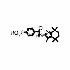 Cc1c(NC(=O)c2ccc(C(=O)O)cc2)sc2c1C(C)(C)CCC2(C)C